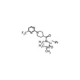 CC(C)C[C@H](C(=O)[SH](C)C)N(C)C(=O)C1CCN(c2nccc(C(F)(F)F)n2)CC1